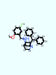 COc1ccc(F)cc1CNC1C2CCN(CC2)C1C(c1ccccc1)c1ccccc1